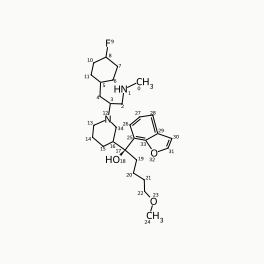 CNCC(CC1CCC(F)CC1)N1CCCC([C@@](O)(CCCCOC)c2cccc3ccoc23)C1